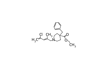 C=C(Cl)/C=C(\C)CN1CCC(Cc2ccccc2)(C(=O)OCC)CC1